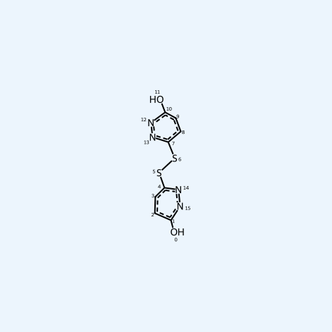 Oc1ccc(SSc2ccc(O)nn2)nn1